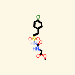 COC(=O)CNC(=O)NS(=O)(=O)C=Cc1ccc(Cl)cc1